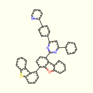 c1ccc(-c2cc(-c3ccc(-c4ccccn4)cc3)nc(-c3ccc(-c4cccc5sc6ccccc6c45)c4oc5ccccc5c34)n2)cc1